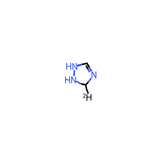 [2H]C1N=CNN1